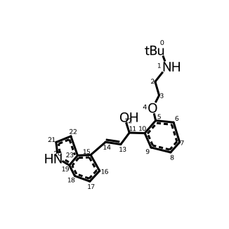 CC(C)(C)NCCOc1ccccc1C(O)C=Cc1cccc2[nH]ccc12